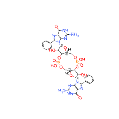 Nc1nc2c(nc(-c3ccccc3)n2[C@@H]2O[C@@H]3COP(=O)(O)OC4C(O)[C@H](n5c(-c6ccccc6)nc6c(=O)[nH]c(N)nc65)O[C@@H]4COP(=O)(O)OC3C2O)c(=O)[nH]1